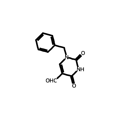 O=Cc1cn(Cc2ccccc2)c(=O)[nH]c1=O